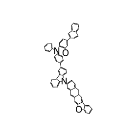 c1ccc(N2c3ccc(-c4ccc5ccccc5c4)cc3Oc3cc(-c4ccc5c(c4)c4ccccc4n5-c4ccc5cc6cc7c(cc6cc5c4)oc4ccccc47)ccc32)cc1